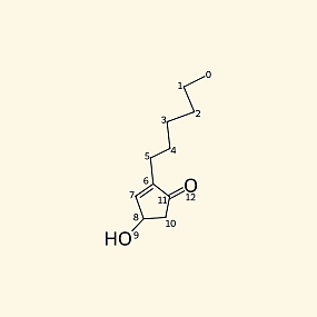 CCCCCCC1=CC(O)CC1=O